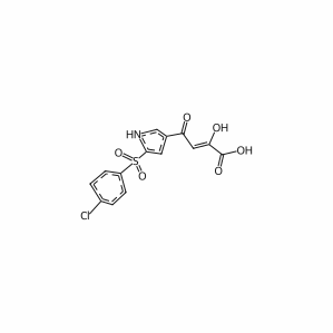 O=C(O)C(O)=CC(=O)c1c[nH]c(S(=O)(=O)c2ccc(Cl)cc2)c1